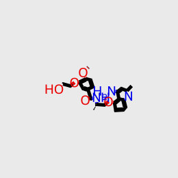 COc1ccc(C(=O)N[C@@H](C)COc2cccc3nc(C)cc(N)c23)cc1OCCO